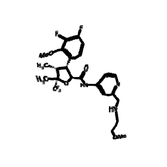 COCCNCc1cc(NC(=O)[C@H]2O[C@](C)(C(F)(F)F)[C@H](C)[C@@H]2c2ccc(F)c(F)c2OC)ccn1